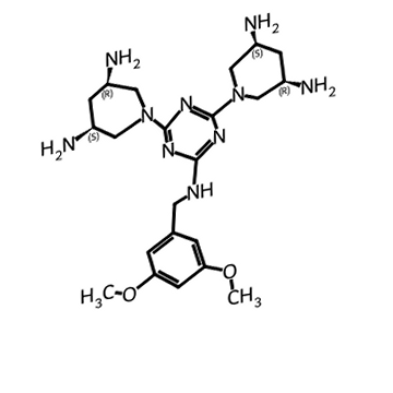 COc1cc(CNc2nc(N3C[C@H](N)C[C@H](N)C3)nc(N3C[C@H](N)C[C@H](N)C3)n2)cc(OC)c1